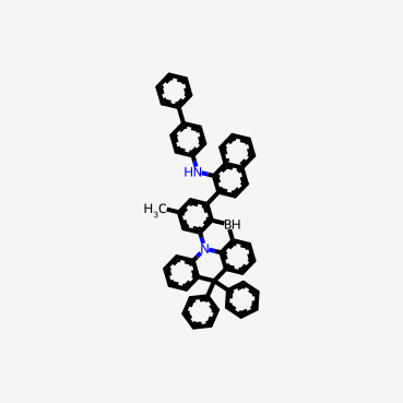 Cc1cc(-c2ccc3ccccc3c2Nc2ccc(-c3ccccc3)cc2)c2c(c1)N1c3ccccc3C(c3ccccc3)(c3ccccc3)c3cccc(c31)B2